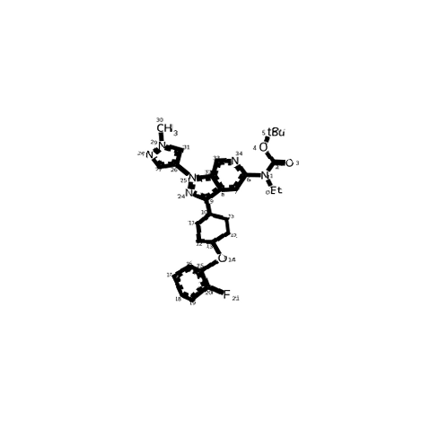 CCN(C(=O)OC(C)(C)C)c1cc2c(C3CCC(Oc4ccccc4F)CC3)nn(-c3cnn(C)c3)c2cn1